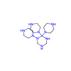 C1CN(N2CNCNC2(N2CCNCC2)N2CCNCC2)CCN1